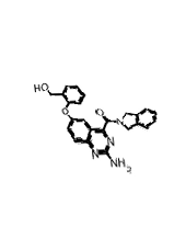 Nc1nc(C(=O)N2Cc3ccccc3C2)c2cc(Oc3ccccc3CO)ccc2n1